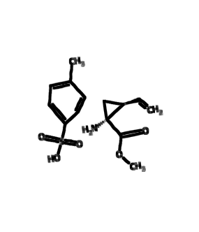 C=C[C@@H]1C[C@]1(N)C(=O)OC.Cc1ccc(S(=O)(=O)O)cc1